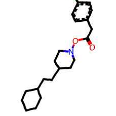 O=C(Cc1ccc(Cl)cc1)ON1CCC(CCC2CCCCC2)CC1